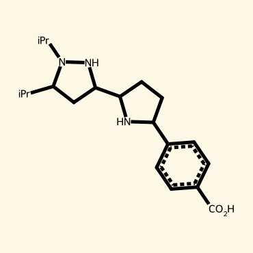 CC(C)C1CC(C2CCC(c3ccc(C(=O)O)cc3)N2)NN1C(C)C